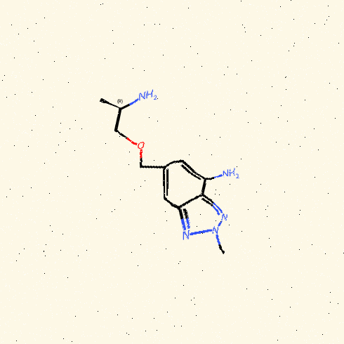 C[C@@H](N)COCc1cc(N)c2nn(C)nc2c1